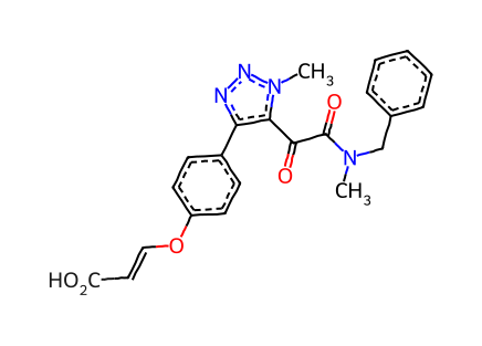 CN(Cc1ccccc1)C(=O)C(=O)c1c(-c2ccc(O/C=C/C(=O)O)cc2)nnn1C